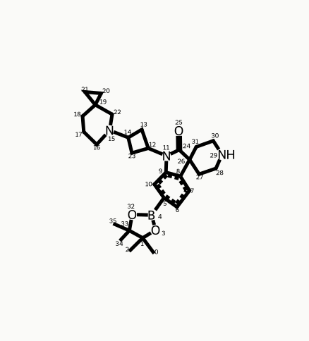 CC1(C)OB(c2ccc3c(c2)N(C2CC(N4CCCC5(CC5)C4)C2)C(=O)C32CCNCC2)OC1(C)C